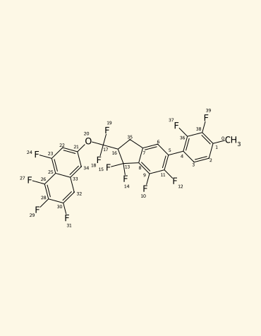 Cc1ccc(-c2cc3c(c(F)c2F)C(F)(F)C(C(F)(F)Oc2cc(F)c4c(F)c(F)c(F)cc4c2)C3)c(F)c1F